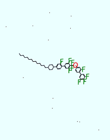 CCCCCCCCCCCCCCC1CCC(c2ccc(-c3cc(F)c(C(F)(F)Oc4ccc(-c5cc(F)c(F)c(F)c5)c(F)c4)c(F)c3)c(F)c2)CC1